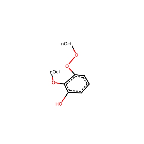 CCCCCCCCOOc1cccc(O)c1OCCCCCCCC